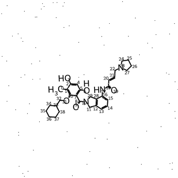 Cc1c(O)cc(O)c(C(=O)N2Cc3cccc(NC(=O)/C=C/CN4CCCC4)c3C2)c1OCC1CCCCC1